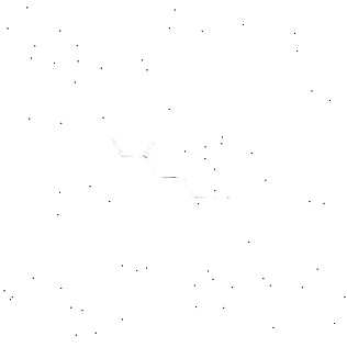 C=CC(=O)O[Se]CCCCC